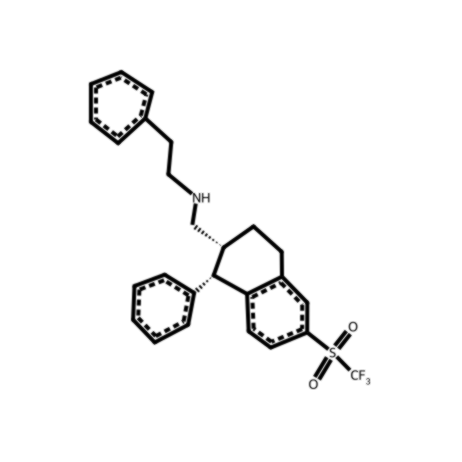 O=S(=O)(c1ccc2c(c1)CC[C@@H](CNCCc1ccccc1)[C@H]2c1ccccc1)C(F)(F)F